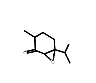 CC1CCC2(C(C)C)OC2C1=O